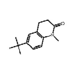 CN1C(=O)CCc2cc(C(C)(C)C)ccc21